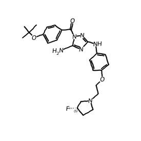 CC(C)(C)Oc1ccc(C(=O)n2nc(Nc3ccc(OCCN4CC[C@H](F)C4)cc3)nc2N)cc1